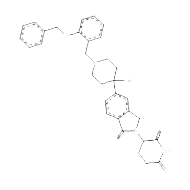 O=C1CCC(N2Cc3cc(C4(O)CCN(Cc5ccccc5OCc5ccccc5)CC4)ccc3C2=O)C(=O)N1